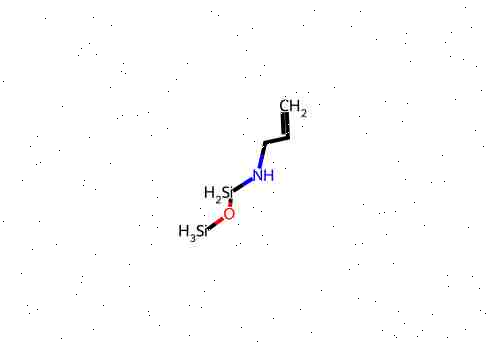 C=CCN[SiH2]O[SiH3]